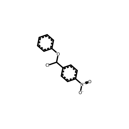 O=[N+]([O-])c1ccc(C(Cl)Oc2ccccc2)cc1